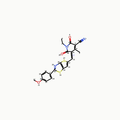 CCN1C(=O)C(C#N)=C(C)/C(=C/c2cc3sc(-c4ccc(OC)cc4)nc3s2)C1=O